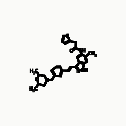 Cc1cc2[nH]nc(C=Cc3cccc(CN4CC(C)OC(C)C4)c3)c2cc1NC(=O)Cc1cccs1